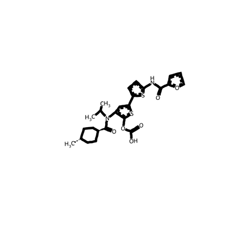 CC(C)N(c1cc(-c2ccc(NC(=O)c3ccco3)s2)sc1OC(=O)O)C(=O)[C@H]1CC[C@H](C)CC1